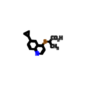 CC(Sc1ccnc2ccc(C3CC3)cc12)C(=O)O